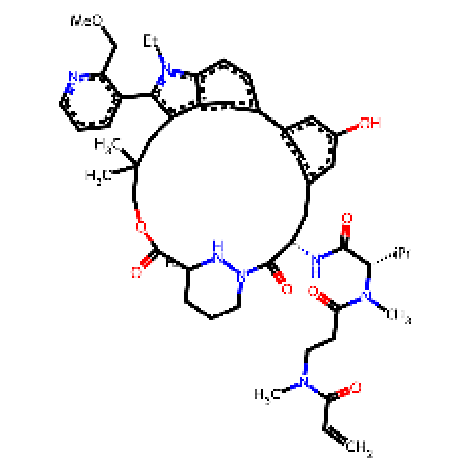 C=CC(=O)N(C)CCC(=O)N(C)[C@H](C(=O)N[C@H]1Cc2cc(O)cc(c2)-c2ccc3c(c2)c(c(-c2cccnc2COC)n3CC)CC(C)(C)COC(=O)[C@@H]2CCCN(N2)C1=O)C(C)C